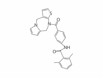 Cc1cccc(C)c1C(=O)Nc1ccc(C(=O)N2Cc3cccn3Cc3ccsc32)cc1